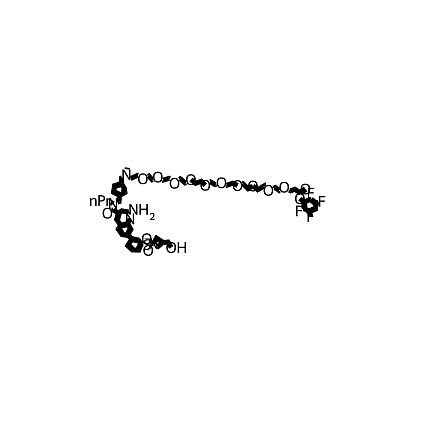 CCCN(Cc1ccc(CN(C)CCOCCOCCOCCOCCOCCOCCOCCOCCOCCOCCC(=O)Oc2c(F)c(F)cc(F)c2F)cc1)C(=O)C1=Cc2ccc(-c3cccc(S(=O)(=O)N4CC(CO)C4)c3)cc2N=C(N)C1